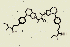 CC[C@H](C)C(=N)CCc1ccc(C2CCCC3CN(C(C)C(=O)C(C)N4CC5CCCC(c6ccc(CCC(=N)[C@@H](C)CC)cc6)C5C4)CC32)cc1